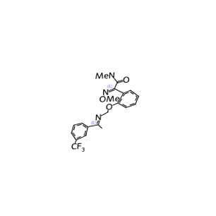 CNC(=O)/C(=N/OC)c1ccccc1OC/N=C(\C)c1cccc(C(F)(F)F)c1